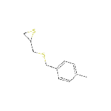 Cc1ccc(CSCC2CS2)cc1